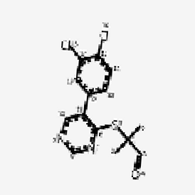 CC(C)(C=O)Sc1ncncc1-c1ccc(Cl)c(Cl)c1